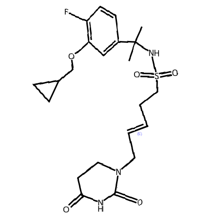 CC(C)(NS(=O)(=O)CC/C=C/CN1CCC(=O)NC1=O)c1ccc(F)c(OCC2CC2)c1